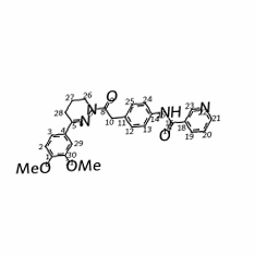 COc1ccc(C2=NN(C(=O)Cc3ccc(NC(=O)c4cccnc4)cc3)CCC2)cc1OC